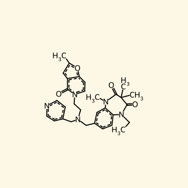 CCN1C(=O)C(C)(C)C(=O)N(C)c2cc(CN(CCn3ccc4oc(C)cc4c3=O)Cc3ccncc3)ccc21